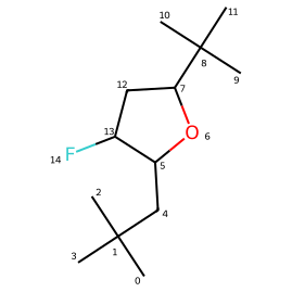 CC(C)(C)CC1OC(C(C)(C)C)CC1F